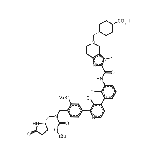 COc1cc(-c2nccc(-c3cccc(NC(=O)c4nc5c(n4C)CN(C[C@H]4CC[C@H](C(=O)O)CC4)CC5)c3Cl)c2Cl)ccc1CN(C[C@@H]1CCC(=O)N1)C(=O)OC(C)(C)C